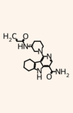 C=CC(=O)N[C@H]1CCCN(c2ncc(C(N)=O)c3[nH]c4c(c23)CCCC4)C1